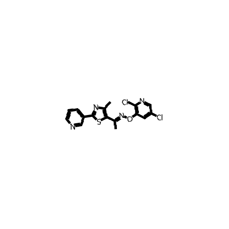 C/C(=N\Oc1cc(Cl)cnc1Cl)c1sc(-c2cccnc2)nc1C